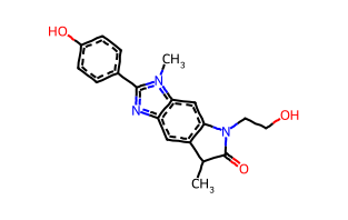 CC1C(=O)N(CCO)c2cc3c(cc21)nc(-c1ccc(O)cc1)n3C